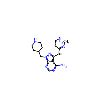 C/N=C(Bc1nn(CC2CCNCC2)c2ncnc(N)c12)\C=C/N